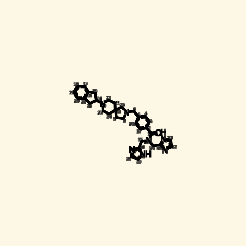 O=C(c1ccc(CN2CCC3(CCN(C4Cc5ccccc5C4)CC3)C2)cc1)N(Cc1ncc[nH]1)Cc1ncc[nH]1